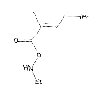 CCNOC(=O)C(C)=CCC(C)C